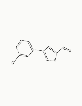 O=Cc1cc(-c2cccc(Cl)c2)co1